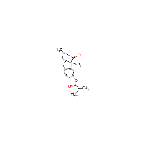 CC(C)C(=O)Oc1ccc2c(c1)C1(C)C(=O)C3N(C)CC31C2